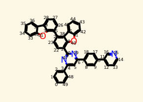 c1ccc(-c2cc(-c3ccc(-c4cccnc4)cc3)nc(-c3ccc(-c4cccc5c4oc4ccccc45)c4c3oc3ccccc34)n2)cc1